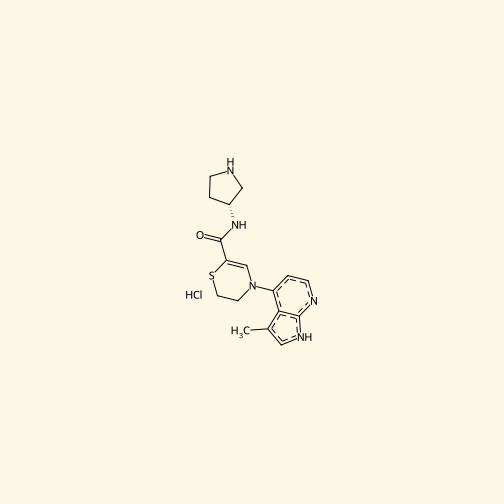 Cc1c[nH]c2nccc(N3C=C(C(=O)N[C@@H]4CCNC4)SCC3)c12.Cl